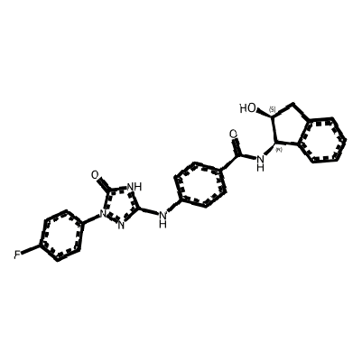 O=C(N[C@@H]1c2ccccc2C[C@@H]1O)c1ccc(Nc2nn(-c3ccc(F)cc3)c(=O)[nH]2)cc1